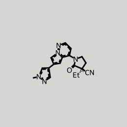 CC[C@@]1(C#N)CCN(c2ccnn3cc(-c4cnn(C)c4)cc23)C1=O